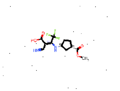 COC(=O)[C@H]1CC[C@@H](N/C(=C(\C=N)C(=O)O)C(F)(F)F)C1